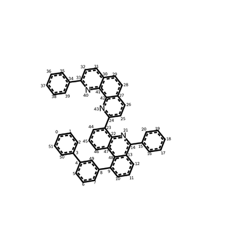 c1ccc(-c2cccc(-c3cccc4c(-c5ccccc5)nc5c(-c6ccc7ccc8ccc(-c9ccccc9)nc8c7n6)cccc5c34)c2)cc1